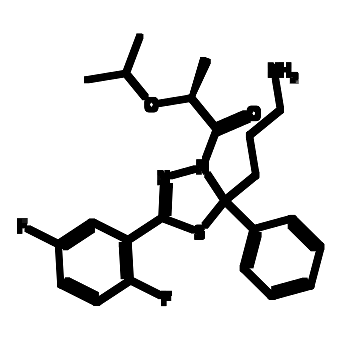 CC(C)O[C@@H](C)C(=O)N1N=C(c2cc(F)ccc2F)SC1(CCCN)c1ccccc1